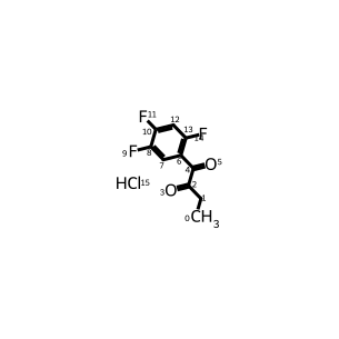 CCC(=O)C(=O)c1cc(F)c(F)cc1F.Cl